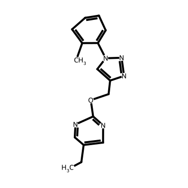 CCc1cnc(OCc2cn(-c3ccccc3C)nn2)nc1